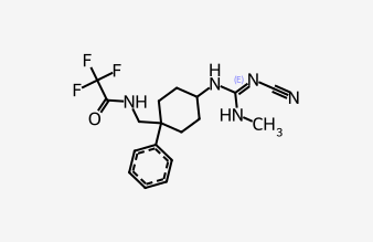 CN/C(=N\C#N)NC1CCC(CNC(=O)C(F)(F)F)(c2ccccc2)CC1